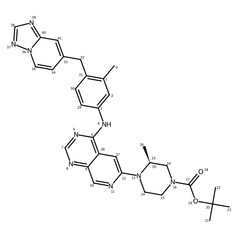 Cc1cc(Nc2ncnc3cnc(N4CCN(C(=O)OC(C)(C)C)C[C@@H]4C)cc23)ccc1Cc1ccn2ncnc2c1